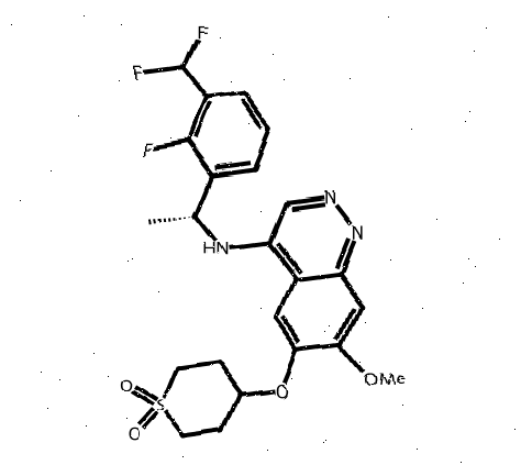 COc1cc2nncc(N[C@H](C)c3cccc(C(F)F)c3F)c2cc1OC1CCS(=O)(=O)CC1